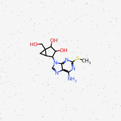 CSc1nc(N)c2ncn(C3C(O)C(O)C4(CO)CC34)c2n1